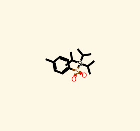 Cc1ccc(S(=O)(=O)[Si](C(C)C)(C(C)C)C(C)C)cc1